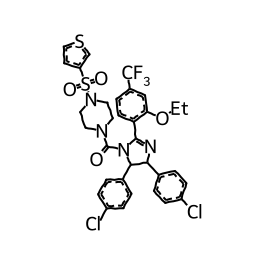 CCOc1cc(C(F)(F)F)ccc1C1=NC(c2ccc(Cl)cc2)C(c2ccc(Cl)cc2)N1C(=O)N1CCN(S(=O)(=O)c2ccsc2)CC1